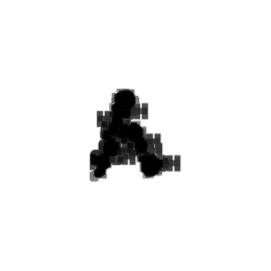 CCc1cc([C@H]2O[C@@H](n3cnc4c(N[C@H](CO)Cc5ccccc5)nc(N5CC[C@@H](NC(=O)NCc6cccc(O)c6)C5)nc43)[C@H](O)[C@@H]2O)on1